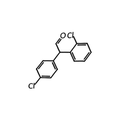 O=CC(c1ccc(Cl)cc1)c1ccccc1Cl